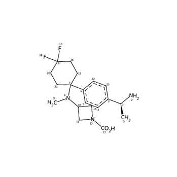 C[C@H](N)c1ccc(C2(N(C)C3CN(C(=O)O)C3)CCC(F)(F)CC2)cc1